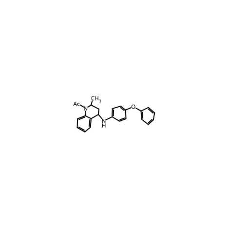 CC(=O)N1c2ccccc2C(Nc2ccc(Oc3ccccc3)cc2)CC1C